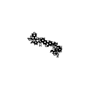 CC[C@H]1CC[C@@H](c2nc3ccc4cc5c(cc4c3[nH]2)OCc2cc(-c3cnc([C@@H]4C[C@@H]6CCC[C@@H]6N4C(=O)[C@@H](NC(=O)OC)[C@@H](C)CC)[nH]3)ccc2-5)N1C(O)[C@@H](NC(=O)OC)C1CCOCC1